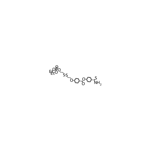 CCOP(=O)(OCC)OCCSSCCOc1ccc(C(=O)Oc2ccc(C(N)=S)cc2)cc1